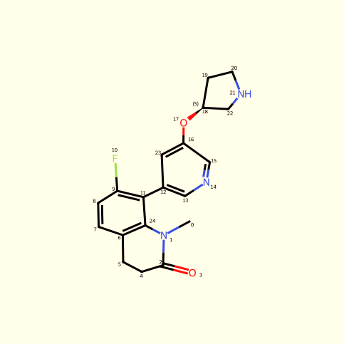 CN1C(=O)CCc2ccc(F)c(-c3cncc(O[C@H]4CCNC4)c3)c21